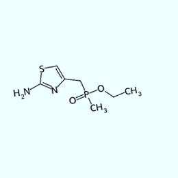 CCOP(C)(=O)Cc1csc(N)n1